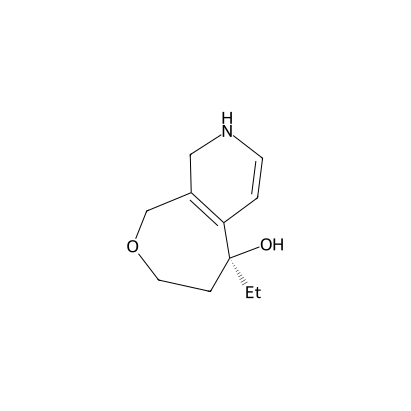 CC[C@]1(O)CCOCC2=C1C=CNC2